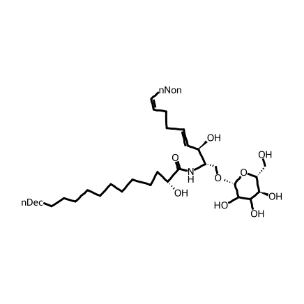 CCCCCCCCC/C=C\CC/C=C/[C@@H](O)[C@H](CO[C@@H]1O[C@H](CO)[C@@H](O)C(O)C1O)NC(=O)[C@H](O)CCCCCCCCCCCCCCCCCCCC